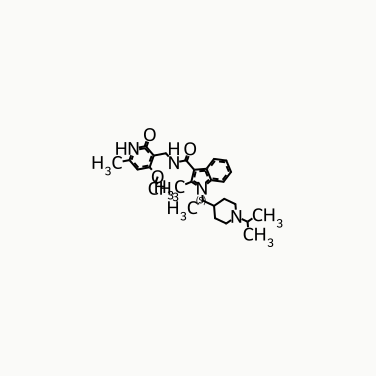 COc1cc(C)[nH]c(=O)c1CNC(=O)c1c(C)n([C@@H](C)C2CCN(C(C)C)CC2)c2ccccc12